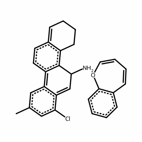 C1=COc2ccccc2C=C1.Cc1cc(Cl)c2c(c1)=c1ccc3c(c1C(N)C=2)CCCC=3